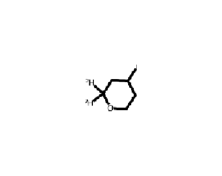 [2H]C1([2H])CC(I)CCO1